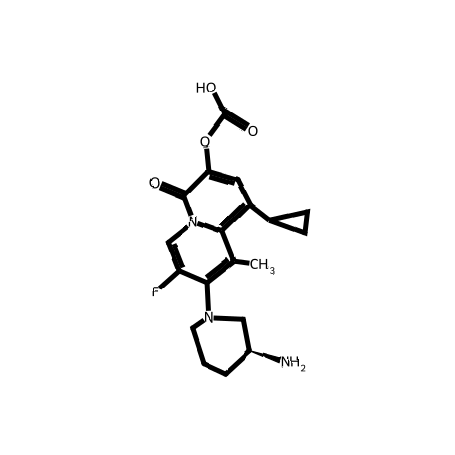 Cc1c(N2CCC[C@H](N)C2)c(F)cn2c(=O)c(OC(=O)O)cc(C3CC3)c12